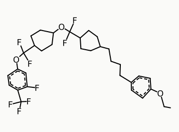 CCOc1ccc(CCCCC2CCC(C(F)(F)OC3CCC(C(F)(F)Oc4ccc(C(F)(F)F)c(F)c4)CC3)CC2)cc1